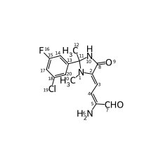 CN1/C(=C\C=C(\N)C=O)C(=O)NC1(C)c1cc(F)cc(Cl)c1